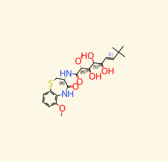 COc1cccc2c1NC(=O)[C@@H](NC(=O)[C@H](OC)[C@H](O)[C@@H](O)[C@H](O)/C=C/C(C)(C)C)CS2